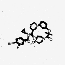 CC(C)(Oc1cccc(N2CCCC(C(=O)N(Cc3ccc(Br)c(F)c3)C3CC3)C2)c1)C(=O)N1CCN(C(=O)O)CC1